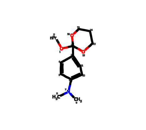 CCCOC1(c2ccc(N(C)C)cc2)OCCCO1